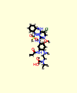 C=CC(=O)Nc1cc(Nc2ncc(Cl)c(Nc3ccccc3NS(C)(=O)=O)n2)c(OC)cc1N(C)CCN(C(=O)O)C(C)C